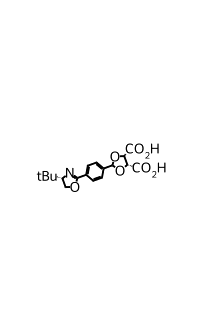 CC(C)(C)[C@H]1COC(c2ccc(C3O[C@@H](C(=O)O)[C@H](C(=O)O)O3)cc2)=N1